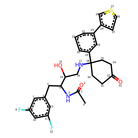 CC(=O)NC(Cc1cc(F)cc(F)c1)C(O)CNC1(c2cccc(-c3ccsc3)c2)CCC(=O)CC1